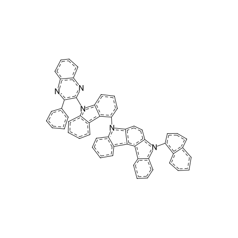 c1ccc(-c2nc3ccccc3nc2-n2c3ccccc3c3c(-n4c5ccccc5c5c6c7ccccc7n(-c7cccc8ccccc78)c6ccc54)cccc32)cc1